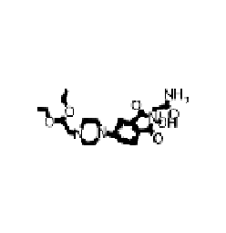 CCOC(CN1CCN(c2ccc3c(c2)C(=O)[N+](O)(CC(N)=O)C3=O)CC1)OCC